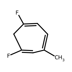 CC1=CC=C(F)CC(F)=C1